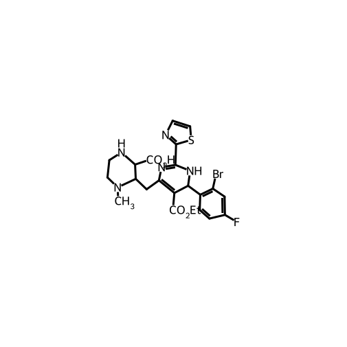 CCOC(=O)C1=C(CC2C(C(=O)O)NCCN2C)N=C(c2nccs2)NC1c1ccc(F)cc1Br